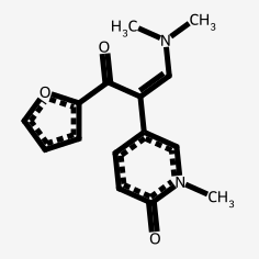 CN(C)/C=C(\C(=O)c1ccco1)c1ccc(=O)n(C)c1